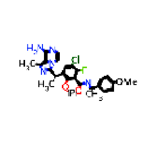 COc1ccc(/C(C)=N/C(=O)c2c(F)c(Cl)cc([C@H](C)c3nc(C)c4c(N)nccn34)c2OC(C)C)cc1